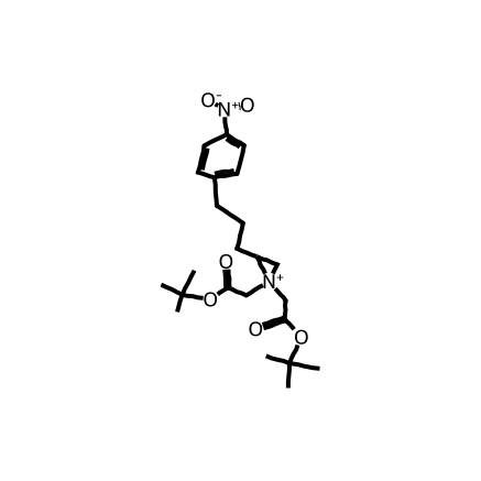 CC(C)(C)OC(=O)C[N+]1(CC(=O)OC(C)(C)C)CC1CCCc1ccc([N+](=O)[O-])cc1